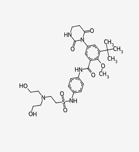 COc1c(C(=O)Nc2ccc(NS(=O)(=O)CCN(CCO)CCO)cc2)cc(N2C(=O)CCNC2=O)cc1C(C)(C)C